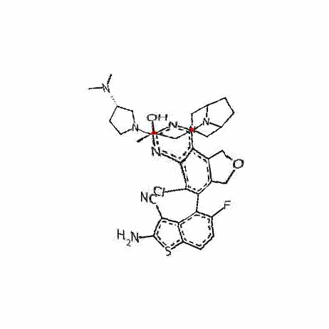 C[C@@H](O)CN1CC2CCC(C1)N2c1nc(N2CC[C@H](N(C)C)C2)nc2c(Cl)c(-c3c(F)ccc4sc(N)c(C#N)c34)c3c(c12)COC3